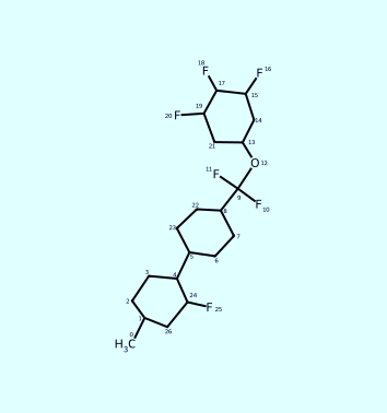 CC1CCC(C2CCC(C(F)(F)OC3CC(F)C(F)C(F)C3)CC2)C(F)C1